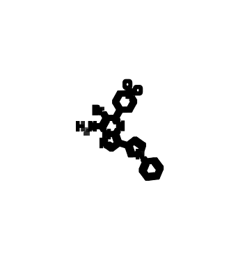 Nc1c(Br)c(C2CCS(=O)(=O)CC2)nc2c(-c3ccn(-c4ccccc4)c3)cnn12